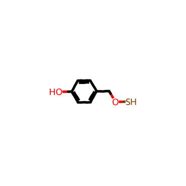 Oc1ccc(COS)cc1